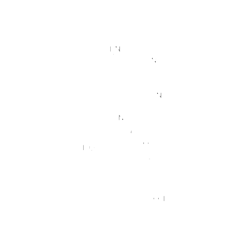 Nc1ncnc2c1c(F)cn2[C@@H]1O[C@H](CO)CC1O